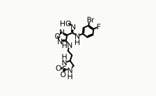 O=S1(=O)NCC(CCNc2nonc2C(=NO)Nc2ccc(F)c(Br)c2)N1